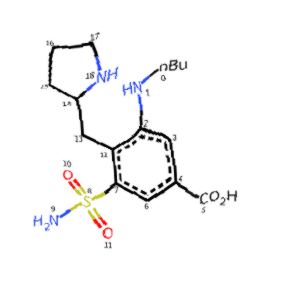 CCCCNc1cc(C(=O)O)cc(S(N)(=O)=O)c1CC1CCCN1